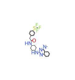 CN(C)c1nc(N[C@H]2CC[C@@H](NC(=O)Cc3ccc(SC(F)(F)F)cc3)CC2)nc2ccccc12